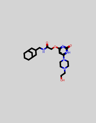 O=C(COc1cc(N2CCN(CCO)CC2)[nH]c(=O)n1)NCC1CC2CCCC(C2)C1